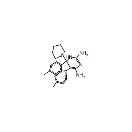 Cc1ccc(C2=C(N)N=C(N)NC2(c2ccc(C)cc2)N2CCCCC2)cc1